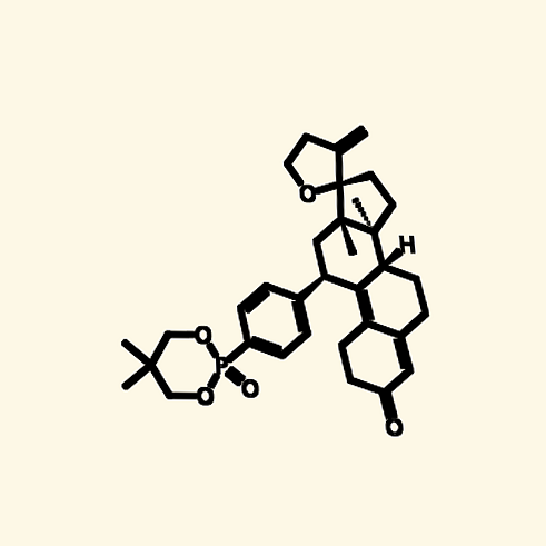 C=C1CCO[C@]12CC[C@@]1(C)[C@@H]3CCC4=CC(=O)CCC4=C3[C@@H](c3ccc(P4(=O)OCC(C)(C)CO4)cc3)C[C@@]12C